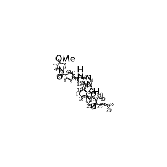 COC1CCN(C(=O)c2ccc(-c3cc4c(-c5cccc(N6CCOc7cc(C8CC8)ccc7C6=O)c5C)ncnc4[nH]3)cc2)CC1